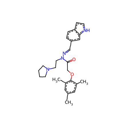 Cc1cc(C)c(OCC(=O)N(CCN2CCCC2)/N=C/c2ccc3cc[nH]c3c2)c(C)c1